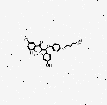 CCNCCCOc1ccc(Oc2c(C(=O)c3cc(Cl)ccc3C)sc3cc(O)ccc23)cc1